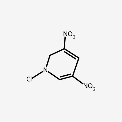 O=[N+]([O-])C1=CN(Cl)CC([N+](=O)[O-])=C1